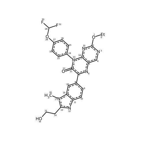 CCOc1ncc2nc(-c3ccc4nc(CCO)n(C)c4c3)c(=O)n(-c3ccc(OC(F)F)cc3)c2n1